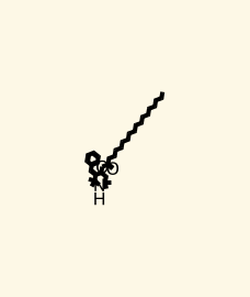 CCCCCCCCCCCCCCCCCC(=O)OC1CC(C)(C)NC(C)(C)C1=Cc1ccccc1